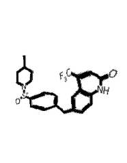 CC1CCN([S+]([O-])c2ccc(Cc3ccc4[nH]c(=O)cc(C(F)(F)F)c4c3)cc2)CC1